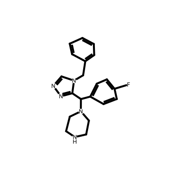 Fc1ccc(C(c2nncn2Cc2ccccc2)N2CCNCC2)cc1